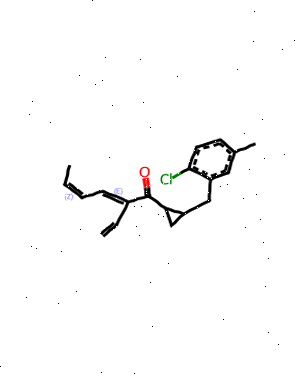 C=C/C(=C\C=C/C)C(=O)C1CC1Cc1cc(C)ccc1Cl